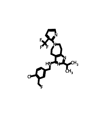 CC(C)c1nc2c(c(NCc3ccc(Cl)c(CF)c3)n1)CCN(c1ncccc1C(F)(F)F)CC2